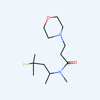 CC(CC(C)(C)F)N(C)C(=O)CCN1CCOCC1